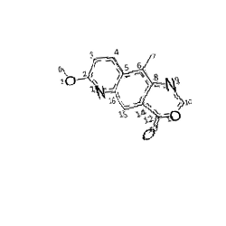 COc1ccc2c(C)c3ncoc(=O)c3cc2n1